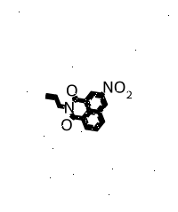 C=CCN1C(=O)c2cccc3cc([N+](=O)[O-])cc(c23)C1=O